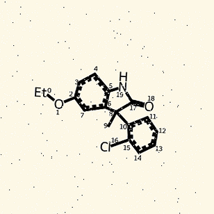 CCOc1ccc2c(c1)C(C)(c1ccccc1Cl)C(=O)N2